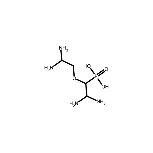 NC(N)COC(C(N)N)P(=O)(O)O